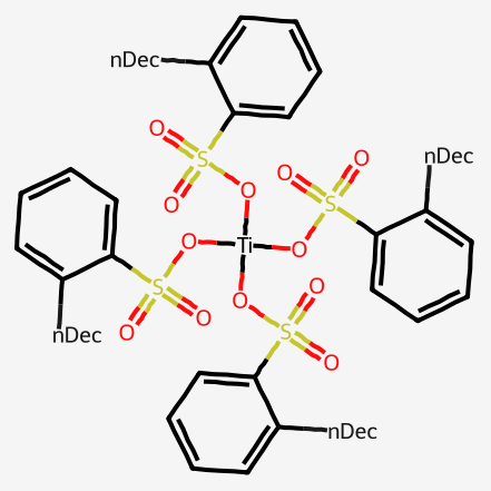 CCCCCCCCCCc1ccccc1S(=O)(=O)[O][Ti]([O]S(=O)(=O)c1ccccc1CCCCCCCCCC)([O]S(=O)(=O)c1ccccc1CCCCCCCCCC)[O]S(=O)(=O)c1ccccc1CCCCCCCCCC